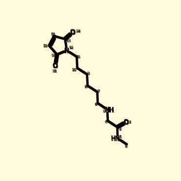 CNC(=O)CNCCCCCCN1C(=O)C=CC1=O